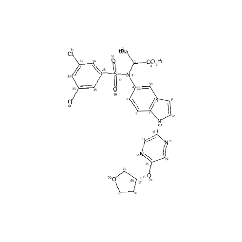 CC(C)(C)C(C(=O)O)N(c1ccc2c(ccn2-c2cnc(O[C@@H]3CCOC3)cn2)c1)S(=O)(=O)c1cc(Cl)cc(Cl)c1